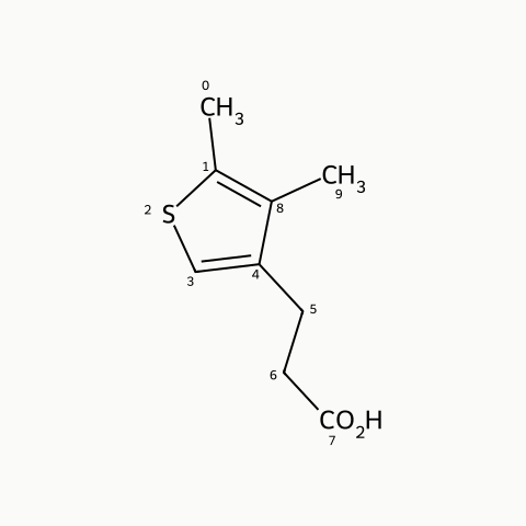 Cc1scc(CCC(=O)O)c1C